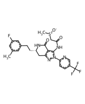 Cc1cc(F)cc(CC[C@H]2Cc3nn(-c4ccc(C(F)(F)F)cn4)c(NC(=O)C[S+](C)[O-])c3C(=O)N2)c1